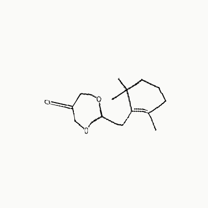 CC1=C(CC2OCC(=O)CO2)C(C)(C)CCC1